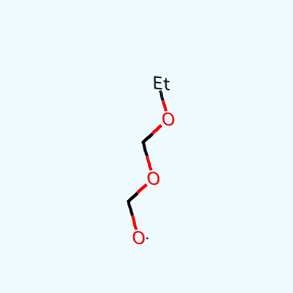 [CH2]COCOC[O]